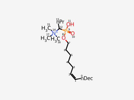 CCCCCCCCCC/C=C\CCCCCOP(=O)(O)C(CCC)[N+](C)(C)C